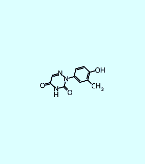 Cc1cc(-n2ncc(=O)[nH]c2=O)ccc1O